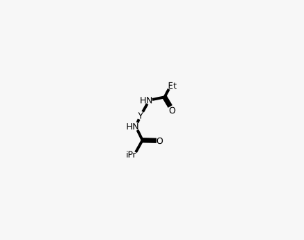 CCC(=O)[NH][Y][NH]C(=O)C(C)C